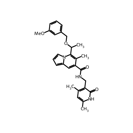 COc1cccc(COC(C)c2c(C)c(C(=O)NCc3c(C)cc(C)[nH]c3=O)cc3cccn23)c1